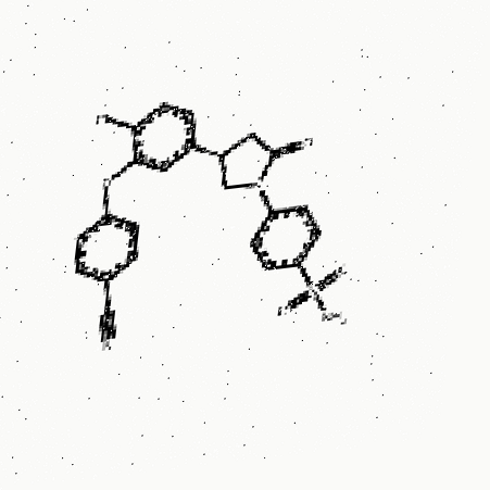 N#Cc1ccc(Oc2cc([C@H]3CC(=O)N(c4ccc(S(N)(=O)=O)cc4)C3)ccc2Cl)cc1